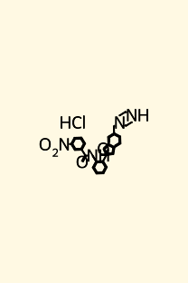 Cl.O=C(Nc1ccccc1-c1cc2ccc(CN3CCNCC3)cc2o1)c1cccc([N+](=O)[O-])c1